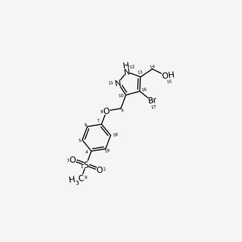 CS(=O)(=O)c1ccc(OCc2n[nH]c(CO)c2Br)cc1